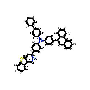 c1ccc(-c2ccc(N(c3ccc(-c4cc5sc6ccccc6c5cn4)cc3)c3ccc(-c4cc5ccccc5c5ccccc45)cc3)cc2)cc1